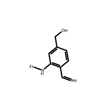 CCNc1cc(CO)ccc1C=N